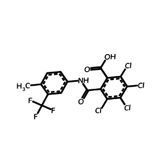 Cc1ccc(NC(=O)c2c(Cl)c(Cl)c(Cl)c(Cl)c2C(=O)O)cc1C(F)(F)F